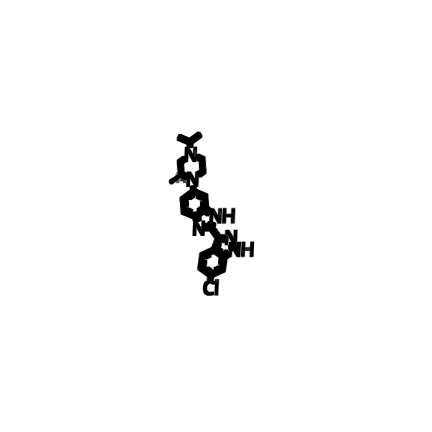 CC(C)N1CCN(c2ccc3nc(-c4n[nH]c5cc(Cl)ccc45)[nH]c3c2)[C@@H](C)C1